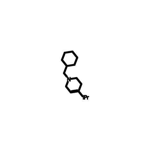 CC(C)C1=CCN(CC2CCCCC2)CC1